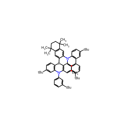 Cc1cc2c3c(c1)N(c1ccc(C(C)(C)C)cc1-c1ccc(C(C)(C)C)cc1)c1cc4c(cc1B3c1ccc(C(C)(C)C)cc1N2c1cccc(C(C)(C)C)c1)C(C)(C)CCC4(C)C